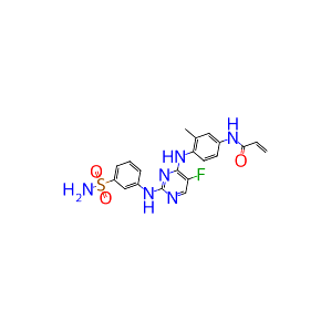 C=CC(=O)Nc1ccc(Nc2nc(Nc3cccc(S(N)(=O)=O)c3)ncc2F)c(C)c1